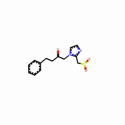 O=C(CCc1ccccc1)Cn1ccnc1C[SH](=O)=O